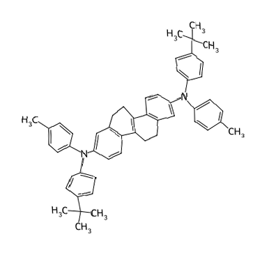 Cc1ccc(N(c2ccc(C(C)(C)C)cc2)c2ccc3c(c2)CCC2=C3CCc3cc(N(c4ccc(C)cc4)c4ccc(C(C)(C)C)cc4)ccc32)cc1